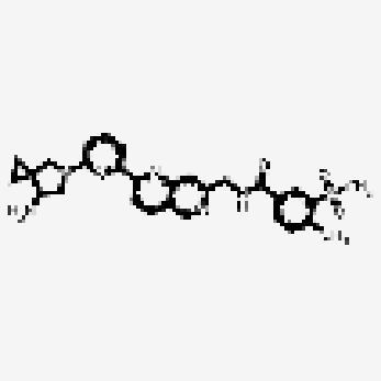 Cc1ccc(C(=O)NCc2cc3nc(-c4cccc(N5CC(N)C6(CC6)C5)n4)ccc3cn2)cc1S(C)(=O)=O